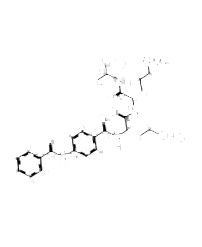 CNCCC[C@H](NC(=O)[C@H](CCC=O)NC(=O)c1ccc(NC(=O)c2ccccc2)cc1)C(=O)N[C@@H](C)C=O